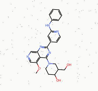 COc1cncc2nc(-c3ccnc(Nc4ccccc4)c3)nc(N3CCC(O)C(CO)C3)c12